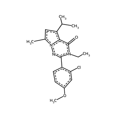 CCn1c(-c2ccc(OC)cc2Cl)nn2c(C)cc(C(C)C)c2c1=O